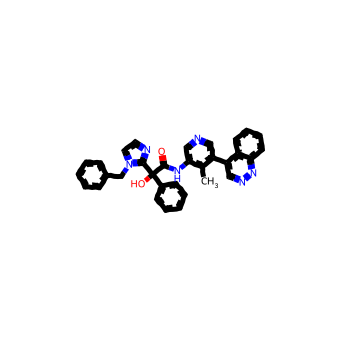 Cc1c(NC(=O)C(O)(c2ccccc2)c2nccn2Cc2ccccc2)cncc1-c1cnnc2ccccc12